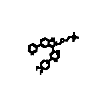 C[Si](C)(C)CCOCn1nc2ccc(-c3cccnc3)cc2c1-c1cc(N2CCC(F)(F)CC2)ncn1